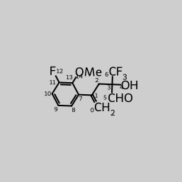 C=C(CC(O)(C=O)C(F)(F)F)c1cccc(F)c1OC